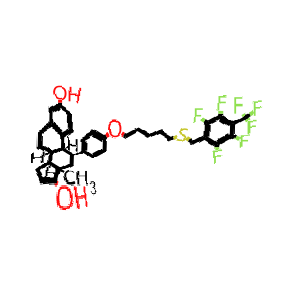 C[C@]12C[C@H](c3ccc(OCCCCCSCc4c(F)c(F)c(C(F)(F)F)c(F)c4F)cc3)[C@@H]3c4ccc(O)cc4CC[C@H]3[C@@H]1CC[C@@H]2O